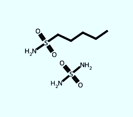 CCCCCS(N)(=O)=O.NS(N)(=O)=O